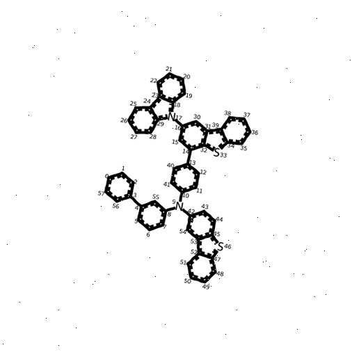 c1ccc(-c2cccc(N(c3ccc(-c4cc(-n5c6ccccc6c6ccccc65)cc5c4sc4ccccc45)cc3)c3ccc4sc5ccccc5c4c3)c2)cc1